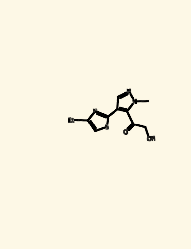 CCc1csc(-c2cnn(C)c2C(=O)CO)n1